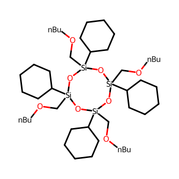 CCCCOC[Si]1(C2CCCCC2)O[Si](COCCCC)(C2CCCCC2)O[Si](COCCCC)(C2CCCCC2)O[Si](COCCCC)(C2CCCCC2)O1